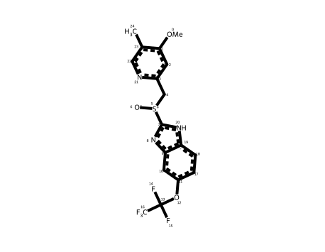 COc1cc(C[S+]([O-])c2nc3cc(OC(F)(F)C(F)(F)F)ccc3[nH]2)ncc1C